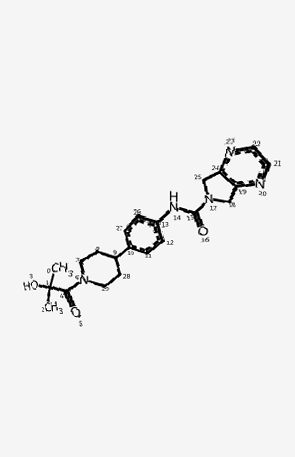 CC(C)(O)C(=O)N1CCC(c2ccc(NC(=O)N3Cc4nccnc4C3)cc2)CC1